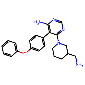 NCC1CCCN(c2ncnc(N)c2-c2ccc(Oc3ccccc3)cc2)C1